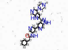 CN1CCN(c2cncc3[nH]c(-c4n[nH]c5cnc(-c6cncc(NC(=O)Cc7ccccc7)c6)cc45)cc23)CC1